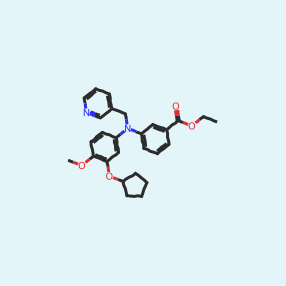 CCOC(=O)c1cccc(N(Cc2cccnc2)c2ccc(OC)c(OC3CCCC3)c2)c1